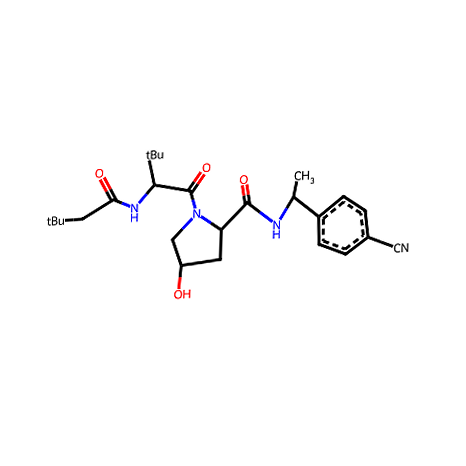 CC(NC(=O)C1CC(O)CN1C(=O)C(NC(=O)CC(C)(C)C)C(C)(C)C)c1ccc(C#N)cc1